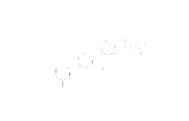 CN(c1cnc(-c2ccc(-c3ccn(C)c(=O)c3)cc2O)nn1)[C@H]1C[C@@H]2CC[C@@H](N2)C1(F)F